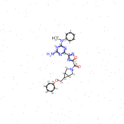 CN(c1ccccc1)c1nc(N)nc(-c2noc(C(=O)N3CC4C(COc5ccccc5)C4C3)n2)n1